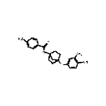 Cc1ccc(C(=O)NC23CCC(Oc4ccc(C#N)c(C)c4)(CC2)C3)cc1